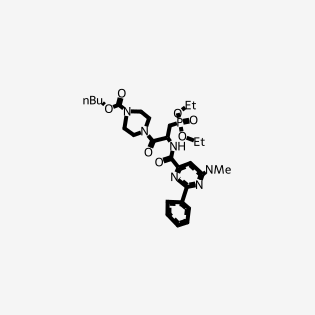 CCCCOC(=O)N1CCN(C(=O)C(CP(=O)(OCC)OCC)NC(=O)c2cc(NC)nc(-c3ccccc3)n2)CC1